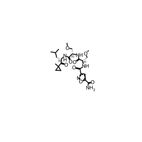 COC[C@H](NC(=O)c1cc(C(N)=O)on1)C(=O)N[C@@H](COC)C(=O)N[C@@H](CC(C)C)C(=O)C1(C)CC1